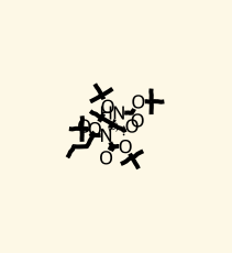 CCCC(=O)N(C(=O)OC(C)(C)C)[C@]([C]=O)(NC(=O)OC(C)(C)C)C(C)(OC(C)(C)C)OC(C)(C)C